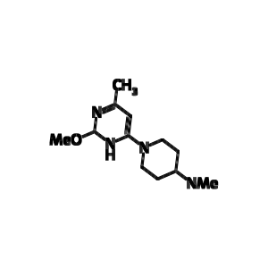 CNC1CCN(C2=CC(C)=NC(OC)N2)CC1